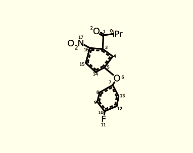 CC(C)C(=O)c1cc(Oc2ccc(F)cc2)ccc1[N+](=O)[O-]